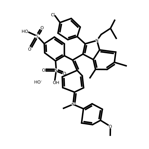 COc1ccc([N+](C)=C2C=CC(=C(c3ccc(S(=O)(=O)O)cc3S(=O)(=O)O)c3c(-c4ccc(Cl)cc4)n(CC(C)C)c4cc(C)cc(C)c34)C=C2)cc1.[OH-]